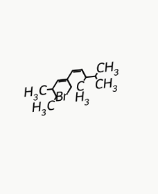 CCC(C)/C=C(/C=C\C(C)C(C)C)CBr